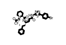 O=C(/C=C/[C@H](CCc1ccccc1)NC(=O)[C@@H]1CCCCN1OC(=O)C(F)(F)F)Nc1nnc(-c2ccc(Br)cc2)s1